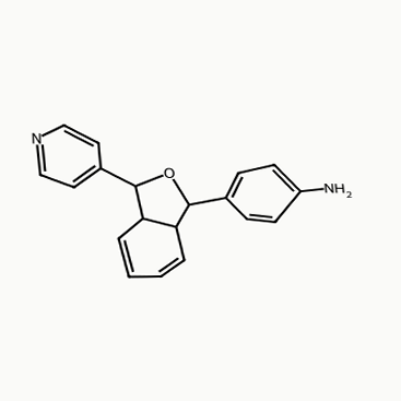 Nc1ccc(C2OC(c3ccncc3)C3C=CC=CC23)cc1